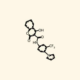 O=C(Nc1ccc(-n2cccc2)c(C(F)(F)F)c1)c1c(O)c2ccccc2oc1=O